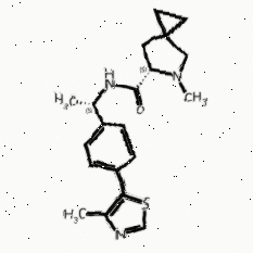 Cc1ncsc1-c1ccc([C@H](C)NC(=O)[C@@H]2CC3(CC3)CN2C)cc1